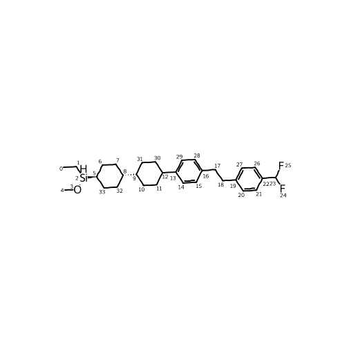 CC[SiH](OC)[C@H]1CC[C@H](C2CCC(c3ccc(CCc4ccc(C(F)F)cc4)cc3)CC2)CC1